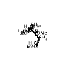 COC/C(C)=C/CC/C(C)=C/CCC(=CCc1cc(O[Si](C)(C)C(C)(C)C)ccc1O[Si](C)(C)C(C)(C)C)C(=O)OC